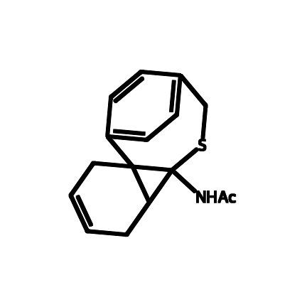 CC(=O)NC12SCc3ccc(cc3)C13CC=CCC23